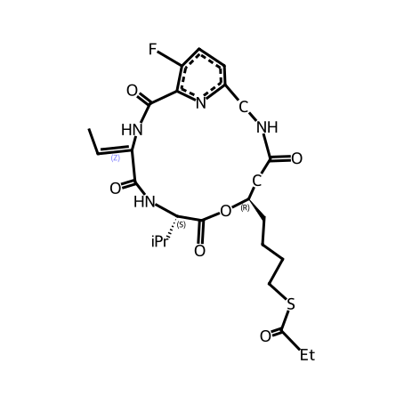 C/C=C1\NC(=O)c2nc(ccc2F)CNC(=O)C[C@@H](CCCCSC(=O)CC)OC(=O)[C@H](C(C)C)NC1=O